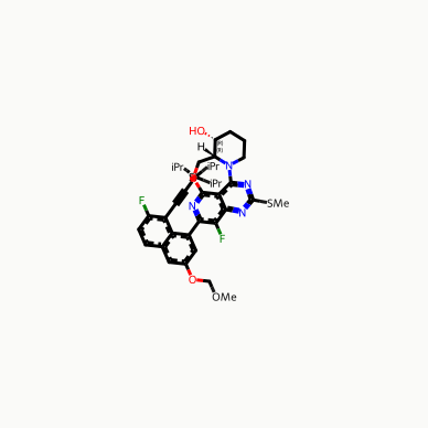 COCOc1cc(-c2nc3c4c(nc(SC)nc4c2F)N2CCC[C@@H](O)[C@H]2CO3)c2c(C#C[Si](C(C)C)(C(C)C)C(C)C)c(F)ccc2c1